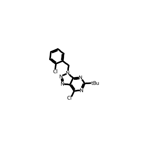 CC(C)(C)c1nc(Cl)c2nnn(Cc3ccccc3Cl)c2n1